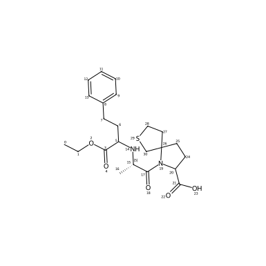 CCOC(=O)C(CCc1ccccc1)N[C@@H](C)C(=O)N1C(C(=O)O)CCC12CCSC2